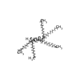 CCCCCCCCCCCCN(CCCCCCCCCCCC)CCN(CCCCCCCCCCCC)CC(=O)N1CCN(C(C)N(CCCCCCCCCCCC)CCCCCCCCCCCC)CC1